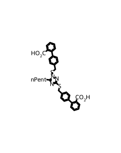 CCCCCc1nc(SCc2ccc(-c3ccccc3C(=O)O)cc2)nn1SCc1ccc(-c2ccccc2C(=O)O)cc1